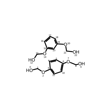 OCOc1ccc(OCO)cc1.OCOc1cccc(OCO)c1